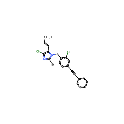 CCc1nc(Cl)c(C=CC(=O)O)n1Cc1ccc(C#Cc2ccccc2)cc1Cl